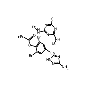 CCCC(=O)Oc1c(Br)cc(C#N)cc1Br.CCNc1nc(Cl)nc(NCC)n1.Nc1nc[nH]n1